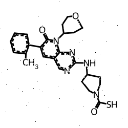 Cc1ccccc1-c1cc2cnc(NC3CCN(C(=O)S)CC3)nc2n(C2CCOCC2)c1=O